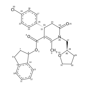 CC1=C(C(=O)OC2CCc3ccccc32)[C@H](c2ccc(Cl)cc2)CC(=O)N1C[C@H]1CCCO1